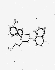 NCCCCN(Cc1cn2c(O)nccc2n1)C1CCCc2cccnc21